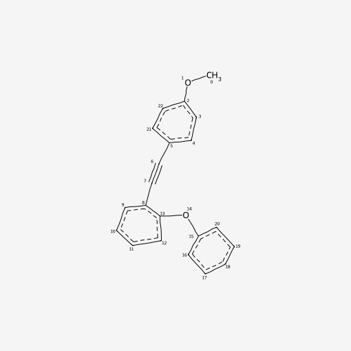 COc1ccc(C#Cc2ccccc2Oc2ccccc2)cc1